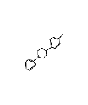 Cc1ccc(C2CCN(c3ccccc3)CC2)cc1